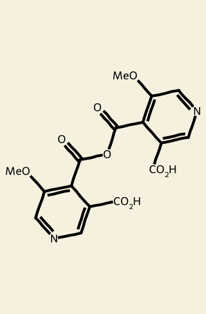 COc1cncc(C(=O)O)c1C(=O)OC(=O)c1c(OC)cncc1C(=O)O